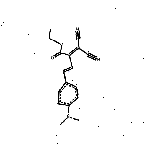 CCOC(=O)C(/C=C/c1ccc(N(C)C)cc1)=C(C#N)C#N